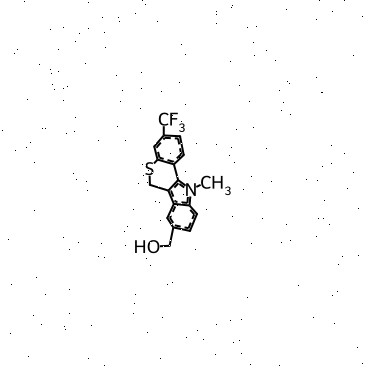 Cn1c2c(c3cc(CO)ccc31)CSc1cc(C(F)(F)F)ccc1-2